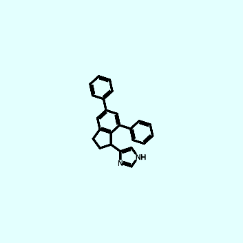 c1ccc(-c2cc3c(c(-c4ccccc4)c2)C(c2c[nH]cn2)CC3)cc1